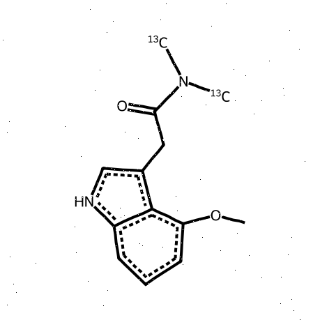 COc1cccc2[nH]cc(CC(=O)N([13CH3])[13CH3])c12